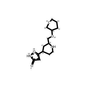 O=c1cc(C2CCNC(COC3CCCCC3)C2)o[nH]1